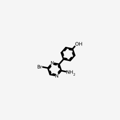 Nc1ncc(Br)nc1-c1ccc(O)cc1